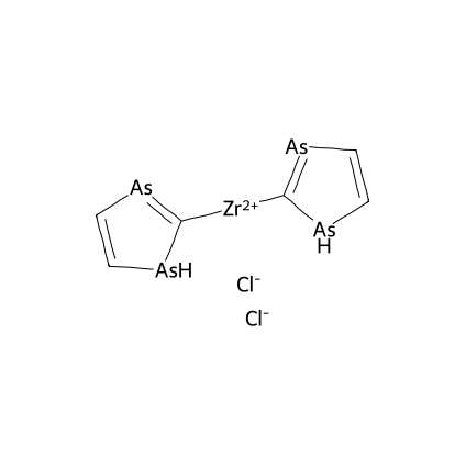 C1=C[AsH][C]([Zr+2][C]2=[As]C=C[AsH]2)=[As]1.[Cl-].[Cl-]